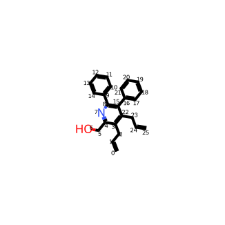 C=CCc1c(CO)nc(-c2ccccc2)c(-c2ccccc2)c1CC=C